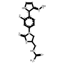 CC(=O)NCC1CN(c2ccc(C3NC=CC3=NO)c(F)c2)C(=O)O1